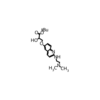 CN(C)CCNc1ccc2cc(OCC(O)C(=O)OC(C)(C)C)ccc2n1